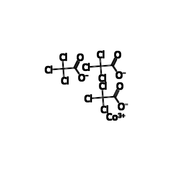 O=C([O-])C(Cl)(Cl)Cl.O=C([O-])C(Cl)(Cl)Cl.O=C([O-])C(Cl)(Cl)Cl.[Co+3]